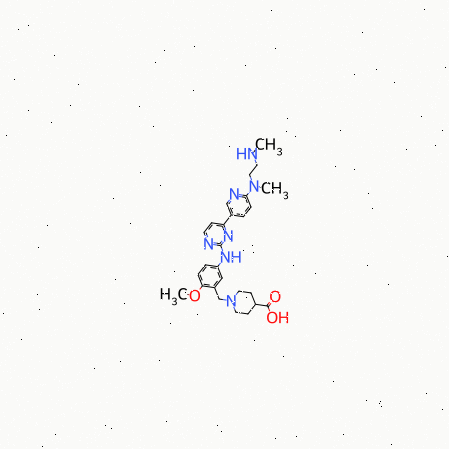 CNCCN(C)c1ccc(-c2ccnc(Nc3ccc(OC)c(CN4CCC(C(=O)O)CC4)c3)n2)cn1